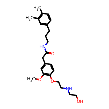 COc1cc(CC(=O)NCCCc2ccc(C)c(C)c2)ccc1OCCNCCO